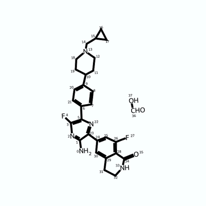 Nc1nc(F)c(-c2ccc(C3CCN(CC4CC4)CC3)cc2)nc1-c1cc(F)c2c(c1)CCNC2=O.O=CO